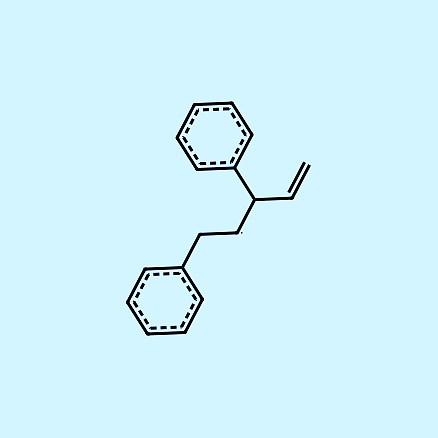 C=CC([CH]Cc1ccccc1)c1ccccc1